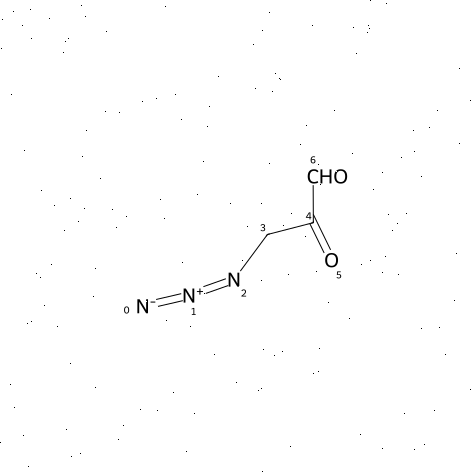 [N-]=[N+]=NCC(=O)C=O